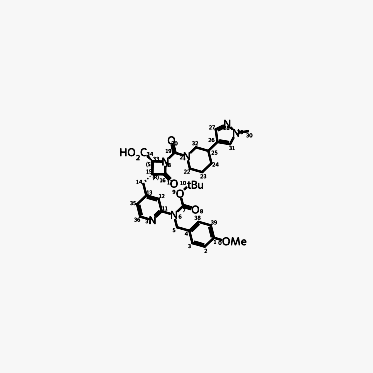 COc1ccc(CN(C(=O)OC(C)(C)C)c2cc(C[C@H]3C(=O)N(C(=O)N4CCCC(c5cnn(C)c5)C4)[C@@H]3C(=O)O)ccn2)cc1